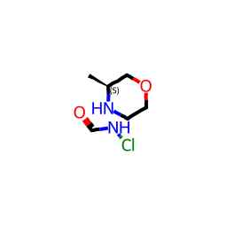 C[C@H]1COCCN1.O=CNCl